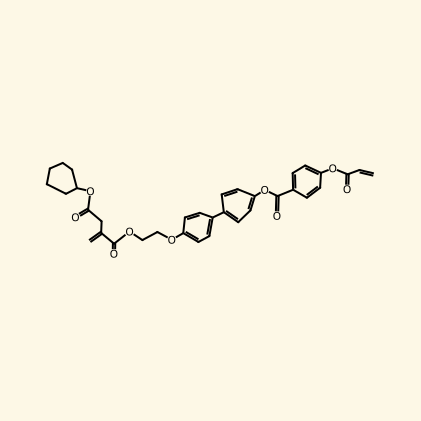 C=CC(=O)Oc1ccc(C(=O)Oc2ccc(-c3ccc(OCCOC(=O)C(=C)CC(=O)OC4CCCCC4)cc3)cc2)cc1